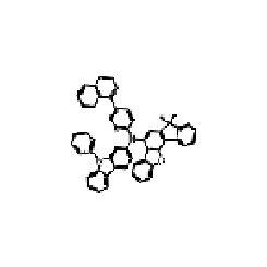 CC1(C)C2=C(c3ccccc31)C1Oc3ccccc3C1C(N(c1ccc(-c3cccc4c3CCC=C4)cc1)c1ccc3c4ccccc4n(-c4ccccc4)c3c1)=C2